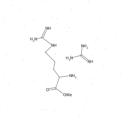 COC(=O)C(N)CCCNC(=N)N.N=C(N)N